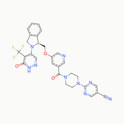 N#Cc1cnc(N2CCN(C(=O)c3cncc(OC[C@@H]4c5ccccc5CN4c4cn[nH]c(=O)c4C(F)(F)F)c3)CC2)nc1